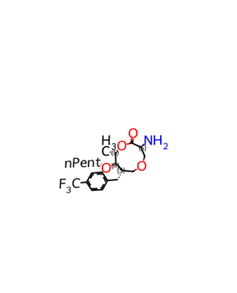 CCCCCO[C@@H]1[C@@H](Cc2ccc(C(F)(F)F)cc2)COC[C@H](N)C(=O)O[C@H]1C